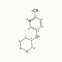 N#Cc1ccc(OC2CCCCC2)cn1